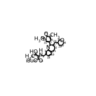 Cc1cc(C2=Nc3cc(CN[C@H](C(=O)OCC(C)C)[C@@H](C)O)ccc3CCC2CC2CCCOC2)cn(C)c1=O